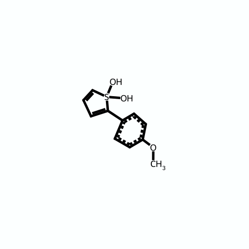 COc1ccc(C2=CC=CS2(O)O)cc1